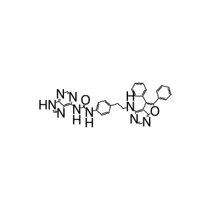 O=C(Nc1ccc(CCNc2ncnc3oc(-c4ccccc4)c(-c4ccccc4)c23)cc1)Nc1ncnc2[nH]cnc12